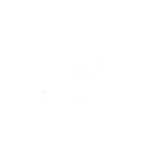 Fc1cccc(Cl)c1-c1nc2c3cc(-c4cn[nH]c4)cnc3ccn2c1Br